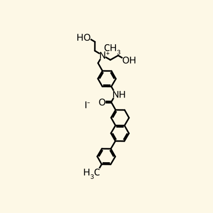 Cc1ccc(-c2ccc3c(c2)C=C(C(=O)Nc2ccc(C[N+](C)(CCO)CCO)cc2)CC3)cc1.[I-]